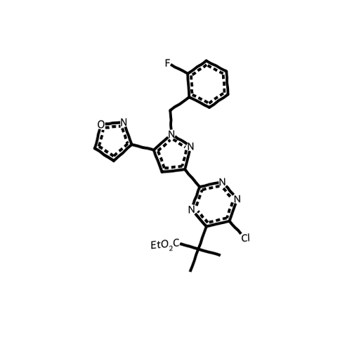 CCOC(=O)C(C)(C)c1nc(-c2cc(-c3ccon3)n(Cc3ccccc3F)n2)nnc1Cl